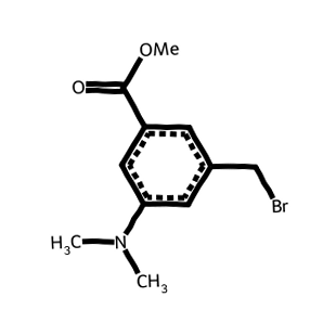 COC(=O)c1cc(CBr)cc(N(C)C)c1